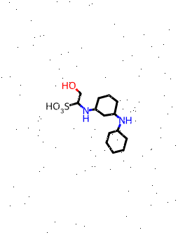 O=S(=O)(O)C(CO)NC1CCCC(NC2CCCCC2)C1